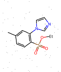 CCOS(=O)(=O)c1ccc(C)cc1-n1ccnc1